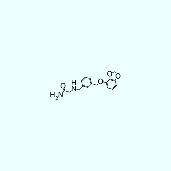 NC(=O)CNCc1cccc(COc2cccc3c2OCO3)c1